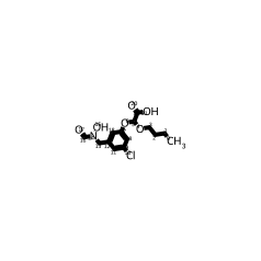 CCCCOC(Oc1cc(Cl)cc(CN(O)C=O)c1)C(=O)O